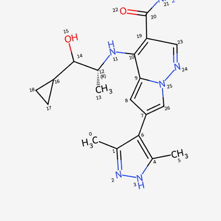 Cc1n[nH]c(C)c1-c1cc2c(N[C@H](C)C(O)C3CC3)c(C(N)=O)cnn2c1